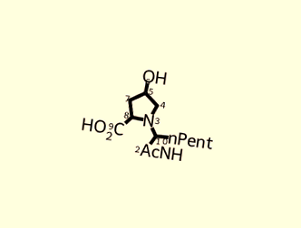 CCCCCC(NC(C)=O)N1CC(O)CC1C(=O)O